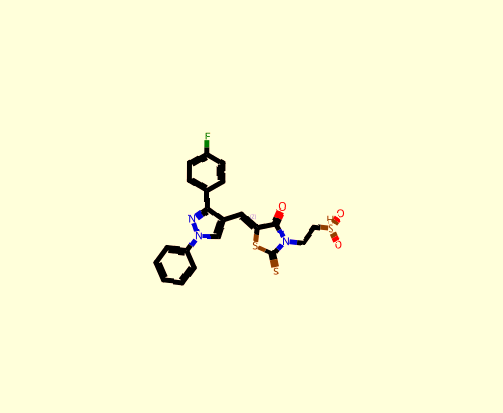 O=C1/C(=C/c2cn(-c3ccccc3)nc2-c2ccc(F)cc2)SC(=S)N1CC[SH](=O)=O